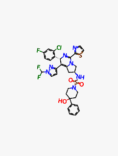 O=S(=O)(N[C@H]1CC2=C(c3ccn(C(F)F)n3)[C@H](c3ccc(F)cc3Cl)N=C(c3nccs3)N2C1)N1CCC(O)(c2ccccc2)CC1